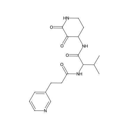 CC(C)C(NC(=O)CCc1cccnc1)C(=O)NC1CCNC(=O)C1=O